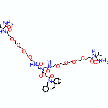 CC(C)[C@H](NC(=O)CCOCCOCCOCCOCCNC(=O)CN(CC(=O)NCCOCCOCCOCCOCCC(=O)N[C@H](C(N)=O)C(C)C)C(=O)CCC(=O)N1Cc2ccccc2/C=C\c2ccccc21)C(N)=O